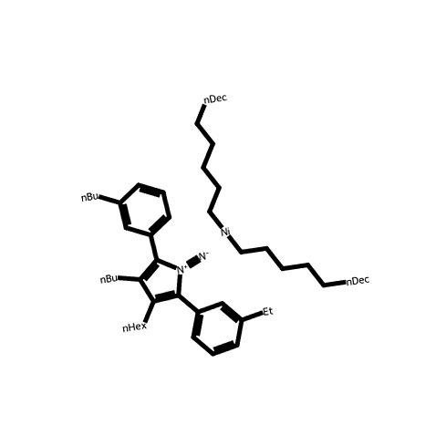 CCCCCCC1=C(c2cccc(CC)c2)[N+](=[N-])C(c2cccc(CCCC)c2)=C1CCCC.CCCCCCCCCCCCCC[CH2][Ni][CH2]CCCCCCCCCCCCCC